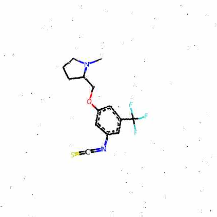 CN1CCCC1COc1cc(N=C=S)cc(C(F)(F)F)c1